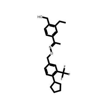 CCc1cc(/C(C)=N/OCc2ccc(C3CCCC3)c(C(F)(F)F)c2)ccc1CO